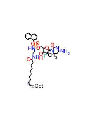 CCCCCCCC/C=C\CCCCCCCC(=O)NCCNP(=O)(OC[C@H]1O[C@@H](n2ccc(N)nc2=O)[C@](C)(F)[C@@H]1O)Oc1cccc2ccccc12